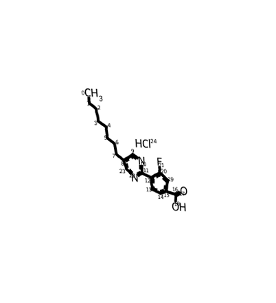 CCCCCCCCc1cnc(-c2ccc(C(=O)O)cc2F)nc1.Cl